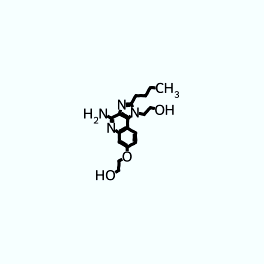 CCCCc1nc2c(N)nc3cc(OCCO)ccc3c2n1CCO